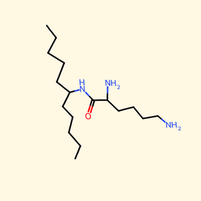 CCCCCC(CCCCC)NC(=O)C(N)CCCCN